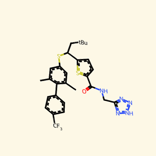 Cc1cc(SC(CC(C)(C)C)c2ccc(C(=O)NCc3nn[nH]n3)s2)cc(C)c1-c1ccc(C(F)(F)F)cc1